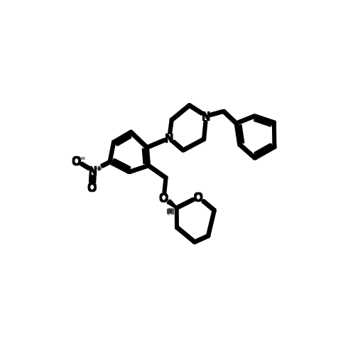 O=[N+]([O-])c1ccc(N2CCN(Cc3ccccc3)CC2)c(CO[C@@H]2CCCCO2)c1